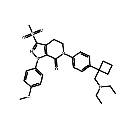 CCN(CC)CC1(c2ccc(N3CCc4c(S(C)(=O)=O)nn(-c5ccc(OC)cc5)c4C3=O)cc2)CCC1